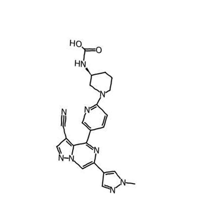 Cn1cc(-c2cn3ncc(C#N)c3c(-c3ccc(N4CCC[C@H](NC(=O)O)C4)nc3)n2)cn1